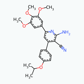 COc1cc(-c2cc(-c3ccc(OC(C)C)cc3)c(C#N)c(N)n2)cc(OC)c1OC